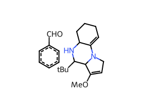 COC1=CCN2C3=CCCCC3NC(C(C)(C)C)C12.O=Cc1ccccc1